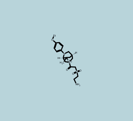 CCOc1ccc(N2C[C@H]3CN(C(=O)CS(=O)(=O)CCN)C[C@@H]2C(C)(C)C3)cc1